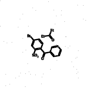 CCC(=O)CC.O=C(c1ccccc1)c1ccc(Br)cc1[N+](=O)[O-]